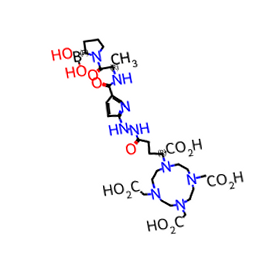 C[C@@H](NC(=O)c1ccc(NNC(=O)CC[C@H](C(=O)O)N2CCN(CC(=O)O)CCN(CC(=O)O)CCN(CC(=O)O)CC2)nc1)C(=O)N1CCC[C@H]1B(O)O